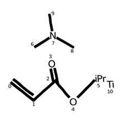 C=CC(=O)OC(C)C.CN(C)C.[Ti]